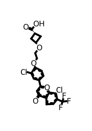 O=c1cc(-c2ccc(OCCO[C@H]3C[C@@H](C(=O)O)C3)c(Cl)c2)oc2c(Cl)c(C(F)(F)F)ccc12